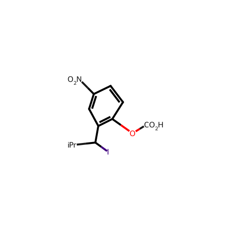 CC(C)C(I)c1cc([N+](=O)[O-])ccc1OC(=O)O